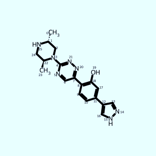 C[C@@H]1CN(c2ncc(-c3ccc(-c4cn[nH]c4)cc3O)nn2)[C@@H](C)CN1